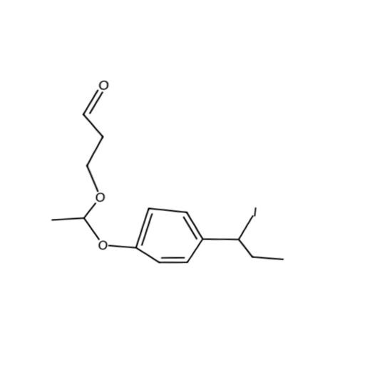 CCC(I)c1ccc(OC(C)OCCC=O)cc1